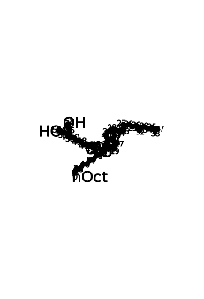 CCCCCCCC/C=C\CCCCCCCC(Oc1cc2c(c(C)c1C)OC(C)(CC/C=C(\C)CC/C=C(\C)CCC=C(C)C)CC2)O[Si](C)(C)OCCCCCCN(CCO)CCO